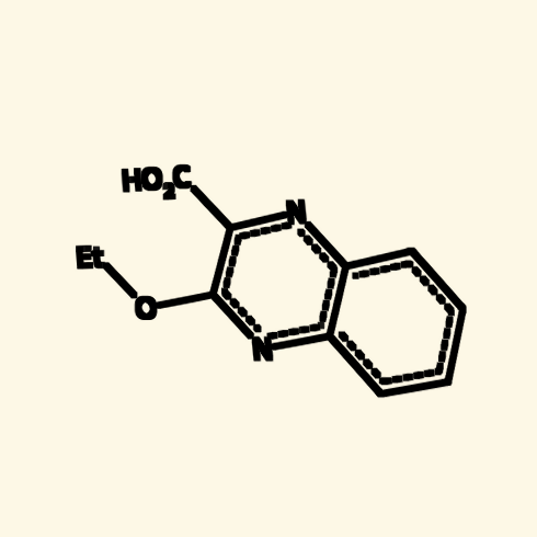 CCOc1nc2ccccc2nc1C(=O)O